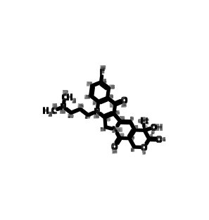 CC[C@@]1(O)C(=O)OCc2c1cc1n(c2=O)Cc2c-1c(=O)c1cc(F)ccc1n2CCCN(C)C